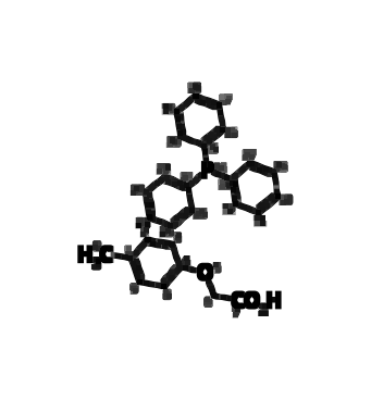 Cc1ccc(OCC(=O)O)cc1.c1ccc(P(c2ccccc2)c2ccccc2)cc1